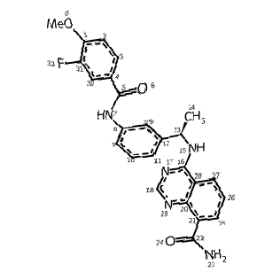 COc1ccc(C(=O)Nc2cccc([C@@H](C)Nc3ncnc4c(C(N)=O)cccc34)c2)cc1F